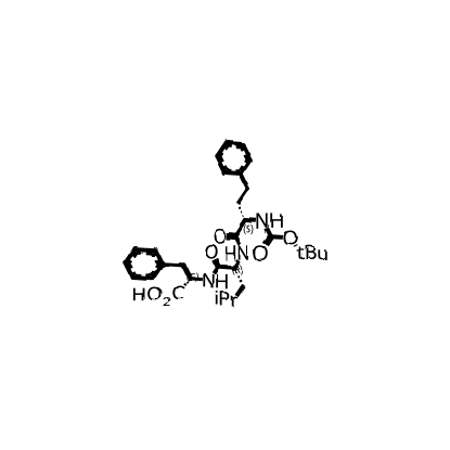 CC(C)C[C@@H](NC(=O)[C@H](CCc1ccccc1)NC(=O)OC(C)(C)C)C(=O)N[C@@H](Cc1ccccc1)C(=O)O